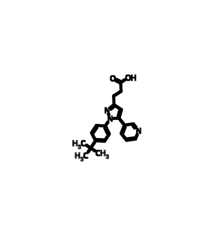 CC(C)(C)c1ccc(-n2nc(CCC(=O)O)cc2-c2cccnc2)cc1